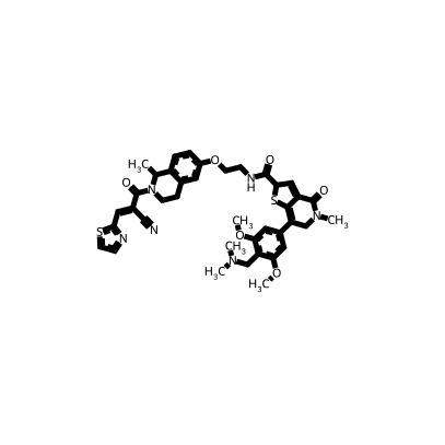 COc1cc(C2=C3SC(C(=O)NCCOc4ccc5c(c4)CCN(C(=O)C(C#N)=Cc4nccs4)C5C)C=C3C(=O)N(C)C2)cc(OC)c1CN(C)C